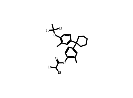 CCC(CC)C(=O)Oc1ccc(C2(c3ccc(OC(C)(CC)CC)c(C)c3)CCCCC2)cc1C